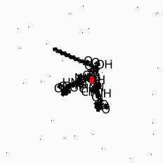 C#C[C@@]1(C(c2ccc(C(=O)O)c(COC(=O)CCCCCCCCCCCCCCC)c2)[C@]2(C#C)O[C@@H](n3cnc4c(NC(=O)CC(C)(C)c5c(C)cc(C)cc5OC(C)=O)nc(Cl)nc43)C[C@@H]2O)O[C@@H](n2cnc3c(NC(=O)CC(C)(C)c4c(C)cc(C)cc4OC(C)=O)nc(Cl)nc32)C[C@@H]1O